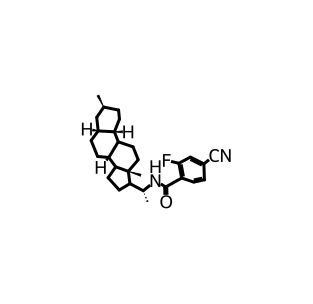 C[C@H]1CC[C@@H]2C3CC[C@@]4(C)C(CCC4[C@@H](C)NC(=O)c4ccc(C#N)cc4F)[C@@H]3CC[C@@H]2C1